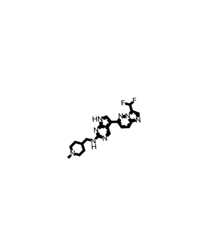 CN1CCC(CNc2ncc3c(-c4ccc5ncc(C(F)F)n5n4)c[nH]c3n2)CC1